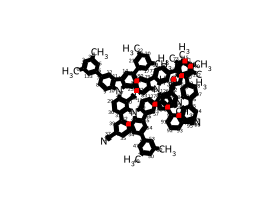 Cc1cc(C)cc(-c2ccc3c(c2)c2cc(-c4cc(C)cc(C)c4)ccc2n3-c2ccc(-c3cccc(C#N)c3)c(-n3c4ccc(-c5cc(C)cc(C)c5)cc4c4cc(-c5cc(C)cc(CCc6cc(C)cc(C)c6-c6ccc7c8ccccc8n(-c8ccc(-c9cccc(C#N)c9)c(-n9c%10ccccc%10c%10ccc(-c%11c(C)cc(C)cc%11C)cc%109)c8C#N)c7c6)c5)ccc43)c2C#N)c1